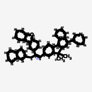 CC1(C)c2cc(/C=C(/Cc3ccc4ccccc4c3)c3ccc4oc5ccccc5c4c3)ccc2-c2c1cc(-c1cccnc1)c1ccccc21